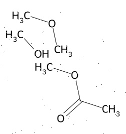 CO.COC.COC(C)=O